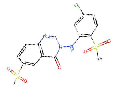 CCS(=O)(=O)c1ccc(Cl)cc1Nn1cnc2ccc(S(C)(=O)=O)cc2c1=O